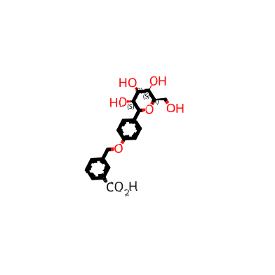 O=C(O)c1cccc(COc2ccc(C3O[C@H](CO)[C@@H](O)[C@H](O)[C@@H]3O)cc2)c1